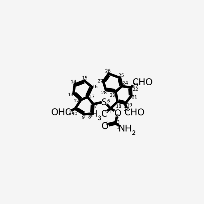 CC(OC(N)=O)(Sc1ccc(C=O)c2ccccc12)c1c(C=O)cc(C=O)c2ccccc12